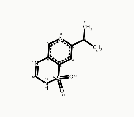 CC(C)c1cc2c(cn1)N=CNS2(=O)=O